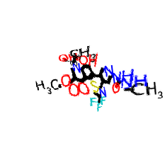 CCNC(=O)Nc1cc(-c2nc(C(F)(F)F)cs2)c(-c2ccc3c(c2)c(=O)c(C(=O)OCC)cn3[C@H](CO)[C@@H](C)O)cn1